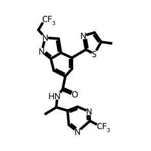 Cc1cnc(-c2cc(C(=O)NC(C)c3cnc(C(F)(F)F)nc3)cc3nn(CC(F)(F)F)cc23)s1